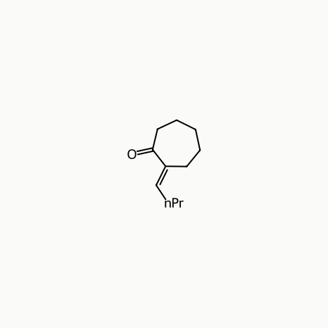 CCC/C=C1\CCCCCC1=O